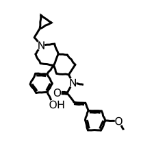 COc1cccc(/C=C/C(=O)N(C)C2CCC3CN(CC4CC4)CCC3(c3cccc(O)c3)C2)c1